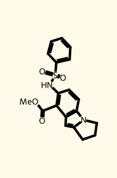 COC(=O)c1c(NS(=O)(=O)c2ccccc2)ccc2c1cc1n2CCC1